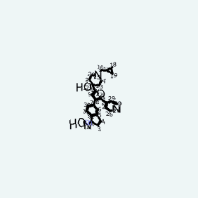 O/N=C1/CCc2cc(-c3cc(C4(O)CCN(CC5CC5)CC4)oc3-c3ccncc3)ccc21